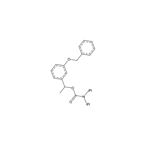 CC(OC(=O)N(C(C)C)C(C)C)c1cccc(OCc2ccccc2)c1